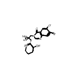 O=c1c2cc(Cl)c(Br)cc2ncn1CC1(C[C@H]2NCCC[C@@H]2O)NN1